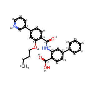 CCCCOc1cc(-c2cccnc2)ccc1C(=O)Nc1cc(-c2ccccc2)ccc1C(=O)O